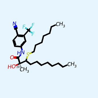 CCCCCCCCC(SCCCCCCC)[C@@](C)(O)C(=O)Nc1ccc(C#N)c(C(F)(F)F)c1